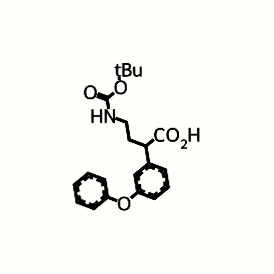 CC(C)(C)OC(=O)NCCC(C(=O)O)c1cccc(Oc2ccccc2)c1